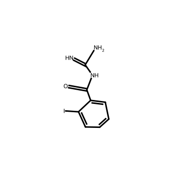 N=C(N)NC(=O)c1ccccc1I